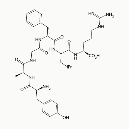 CC(C)C[C@H](NC(=O)[C@H](Cc1ccccc1)NC(=O)CNC(=O)[C@H](C)NC(=O)[C@@H](N)Cc1ccc(O)cc1)C(=O)N[C@@H](CCCNC(=N)N)C(=O)O